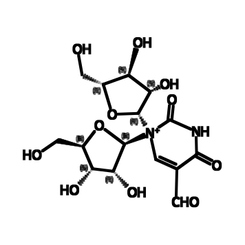 O=CC1=C[N+]([C@@H]2O[C@H](CO)[C@@H](O)[C@H]2O)([C@@H]2O[C@H](CO)[C@@H](O)[C@@H]2O)C(=O)NC1=O